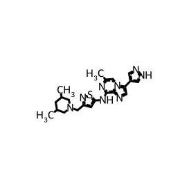 Cc1cn2c(-c3cn[nH]c3)cnc2c(Nc2cc(CN3CC(C)CC(C)C3)ns2)n1